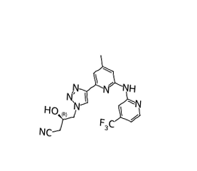 Cc1cc(Nc2cc(C(F)(F)F)ccn2)nc(-c2cn(C[C@H](O)CC#N)nn2)c1